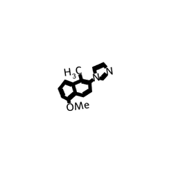 COc1cccc2c(C)c(-n3ccnc3)ccc12